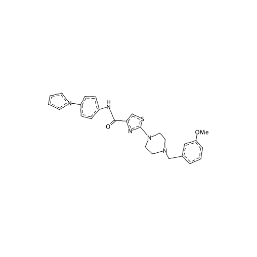 COc1cccc(CN2CCN(c3nc(C(=O)Nc4ccc(-n5cccc5)cc4)cs3)CC2)c1